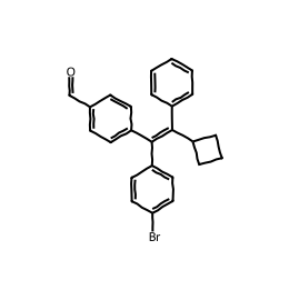 O=Cc1ccc(C(=C(c2ccccc2)C2CCC2)c2ccc(Br)cc2)cc1